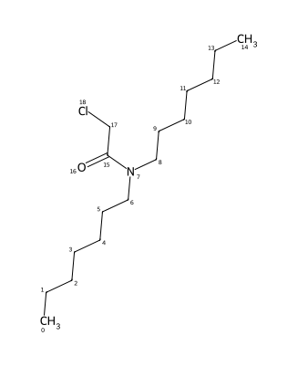 CCCCCCCN(CCCCCCC)C(=O)CCl